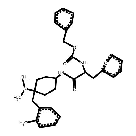 Cc1ccccc1CC1(N(C)C)CCC(NC(=O)C(Cc2ccccc2)NC(=O)OCc2ccccc2)CC1